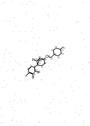 Cc1ccc(C23CCC(OCC4CCC(C)CC4)(C=C2F)CC3)c(F)c1F